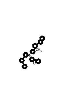 CC1(c2ccc(N(c3cccc(-c4cccc(-c5ccccc5)c4)c3)c3ccc4oc5ccccc5c4c3)cc2)C=CC=C(c2ccc3ccccc3c2)C1